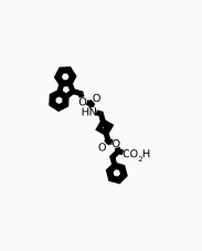 O=C(NCC12CC(C(=O)OC(Cc3ccccc3)C(=O)O)(C1)C2)OCC1c2ccccc2-c2ccccc21